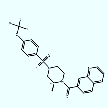 C[C@H]1CN(S(=O)(=O)c2ccc(OC(F)(F)F)cc2)CCN1C(=O)c1ccc2cccnc2c1